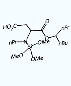 CCCCC(CCC)OC(=O)C(CC(=O)O)N(CCC)[Si](OC)(OC)OC